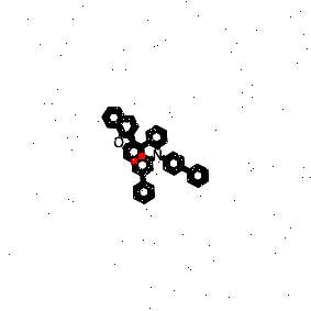 c1ccc(-c2ccc(N(c3cccc(-c4ccccc4)c3)c3ccccc3-c3cccc4oc5c6ccccc6ccc5c34)cc2)cc1